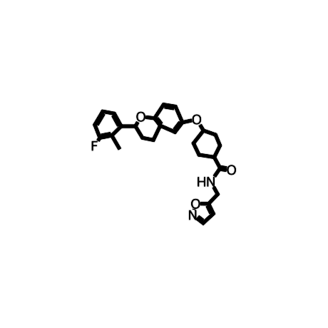 Cc1c(F)cccc1C1CCc2cc(OC3CCC(C(=O)NCc4ccno4)CC3)ccc2O1